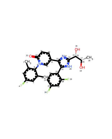 Cc1cc(F)cc(C)c1-n1cc(-c2nc([C@H](O)[C@H](C)O)[nH]c2-c2ccc(F)cc2F)ccc1=O